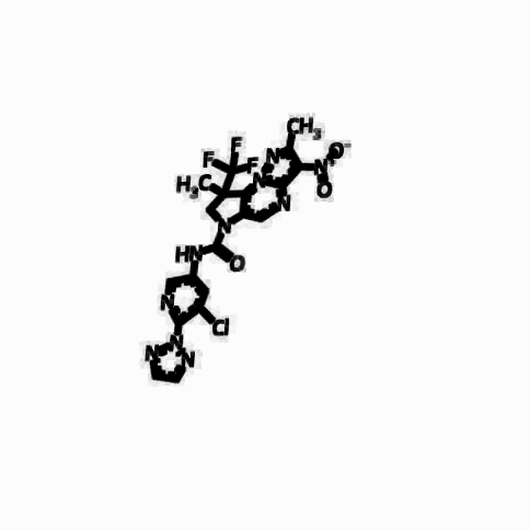 Cc1nn2c3c(cnc2c1[N+](=O)[O-])N(C(=O)Nc1cnc(-n2nccn2)c(Cl)c1)CC3(C)C(F)(F)F